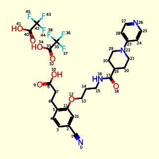 N#Cc1ccc(CCC(=O)O)c(OCCCNC(=O)C2CCN(c3ccncc3)CC2)c1.O=C(O)C(F)(F)F.O=C(O)C(F)(F)F